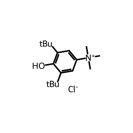 CC(C)(C)c1cc([N+](C)(C)C)cc(C(C)(C)C)c1O.[Cl-]